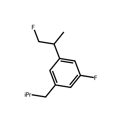 C[C](CF)c1cc(F)cc(CC(C)C)c1